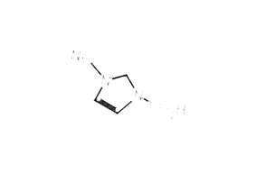 N#CN1C=CN(C(=O)O)C1